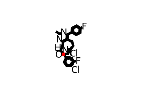 Cc1nc(-c2ccc(F)cc2)c2c(n1)[C@H]1[C@H](C)CCC(CC2)N1C(=O)c1ccc(Cl)c(F)c1Cl